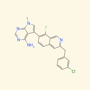 Cn1cc(-c2ccc3cc(Cc4cccc(Cl)c4)ncc3c2F)c2c(N)ncnc21